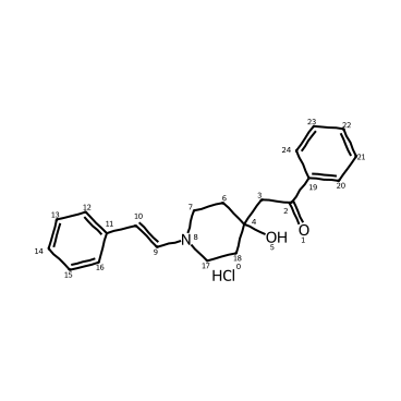 Cl.O=C(CC1(O)CCN(C=Cc2ccccc2)CC1)c1ccccc1